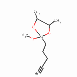 C#CCCC[Si]1(OC)OC(C)C(C)O1